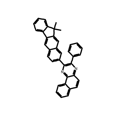 CC1(C)c2ccccc2-c2cc3ccc(-c4nc5c(ccc6ccccc65)nc4-c4ccccc4)cc3cc21